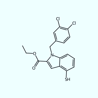 CCOC(=O)c1cc2c(S)cccc2n1Cc1ccc(Cl)c(Cl)c1